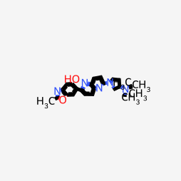 Cc1nc2cc(O)c(-c3ccc4nc(N5CCC(N(C)C(C)(C)C)C5)ccc4n3)cc2o1